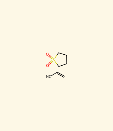 C=CC#N.O=S1(=O)CCCC1